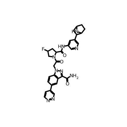 NC(=O)c1nn(CC(=O)N2CC(F)CC2C(=O)Nc2cncc(C3CC4CCC3N4)c2)c2ccc(-c3ccnnc3)cc12